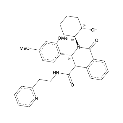 COc1ccc([C@H]2C(C(=O)NCCc3ccccn3)c3ccccc3C(=O)N2[C@H]2CCCC[C@@H]2O)c(OC)c1